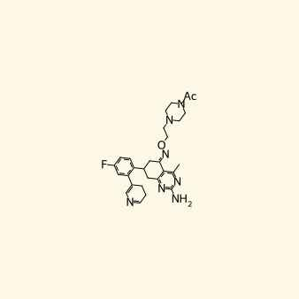 CC(=O)N1CCN(CCO/N=C2\CC(c3ccc(F)cc3C3=CN=CCC3)Cc3nc(N)nc(C)c32)CC1